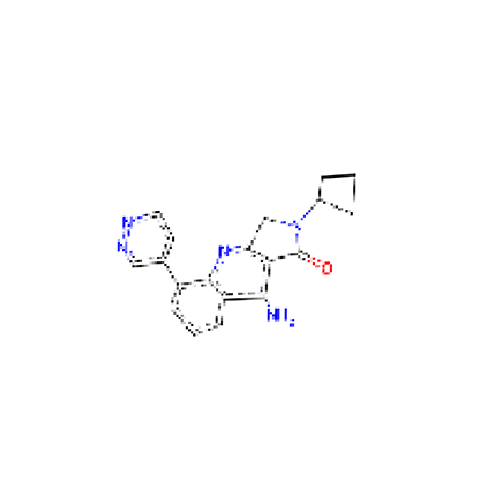 Nc1c2c(nc3c(-c4ccnnc4)cccc13)CN(C1CCC1)C2=O